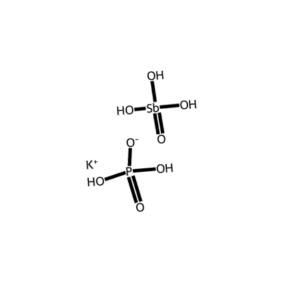 O=P([O-])(O)O.[K+].[O]=[Sb]([OH])([OH])[OH]